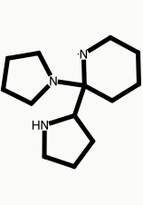 C1CCC(C2CCCN2)(N2CCCC2)[N]C1